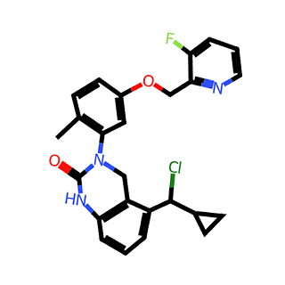 Cc1ccc(OCc2ncccc2F)cc1N1Cc2c(cccc2C(Cl)C2CC2)NC1=O